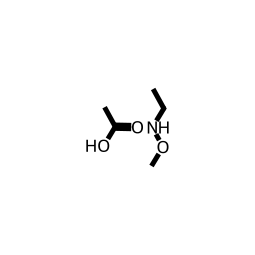 CC(=O)O.CCNOC